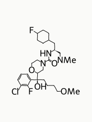 CNC[C@H](CC1CCC(F)CC1)NC(=O)N1CCOC([C@](O)(CCCCOC)c2cccc(Cl)c2F)C1